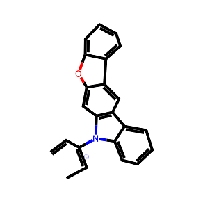 C=C/C(=C\C)n1c2ccccc2c2cc3c(cc21)oc1ccccc13